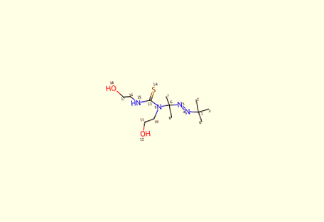 CC(C)(C)N=NC(C)(C)N(CCO)C(=S)NCCO